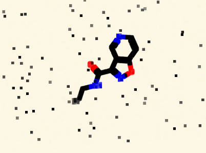 CC(C)CNC(=O)c1noc2ccncc12